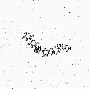 O=C(O)C1(C(=O)O)CCN(Cc2ccc(-c3noc(-c4ccc(-c5ccccc5)cc4)n3)cc2)CC1